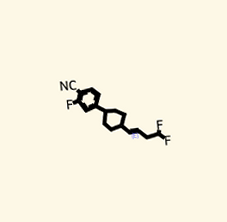 N#Cc1ccc(C2CCC(/C=C/CC(F)F)CC2)cc1F